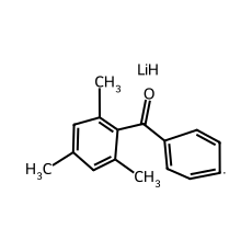 Cc1cc(C)c(C(=O)c2cc[c]cc2)c(C)c1.[LiH]